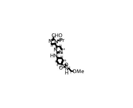 COCCNS(=O)(=O)c1ccc(Nc2nccc(-c3cnc(C=O)n3C(C)C)n2)cc1